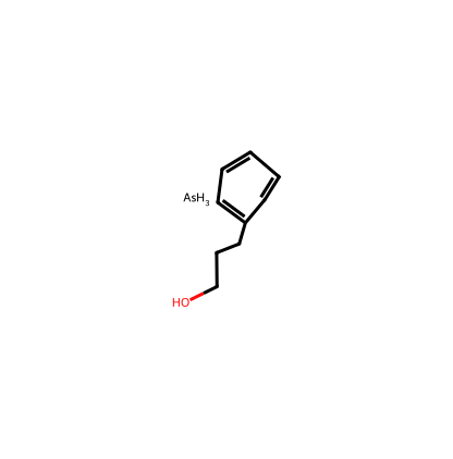 OCCCc1ccccc1.[AsH3]